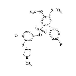 COc1cc(-c2ccc(F)cc2)c(S(=O)(=O)Nc2ccc(Cl)c(O[C@@H]3CCN(C)C3)c2)cc1OC